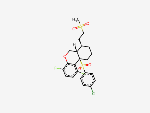 CS(=O)(=O)CC[C@H]1CCC[C@]2(S(=O)(=O)c3ccc(Cl)cc3)c3c(F)ccc(F)c3OC[C@H]12